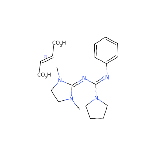 CN1CCN(C)C1=NC(=Nc1ccccc1)N1CCCC1.O=C(O)/C=C/C(=O)O